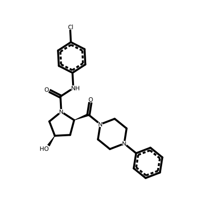 O=C([C@H]1C[C@@H](O)CN1C(=O)Nc1ccc(Cl)cc1)N1CCN(c2ccccc2)CC1